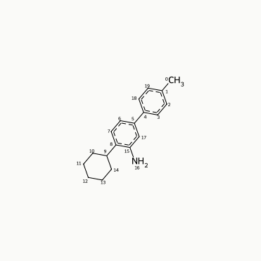 Cc1ccc(-c2ccc(C3CCCCC3)c(N)c2)cc1